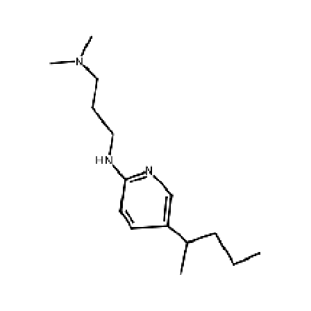 CCCC(C)c1ccc(NCCCN(C)C)nc1